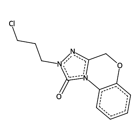 O=c1n(CCCCl)nc2n1-c1ccccc1OC2